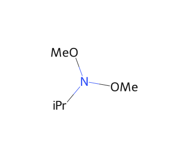 CON(OC)C(C)C